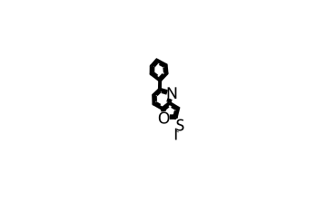 ISc1cc2nc(-c3ccccc3)ccc2o1